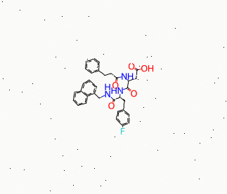 O=C(O)CC(NC(=O)CCc1ccccc1)C(=O)N[C@@H](Cc1ccc(F)cc1)C(=O)NCc1cccc2ccccc12